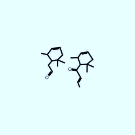 CC1C=CCC(C)(C)C1CC=O.CC=CC(=O)C1C(C)C=CCC1(C)C